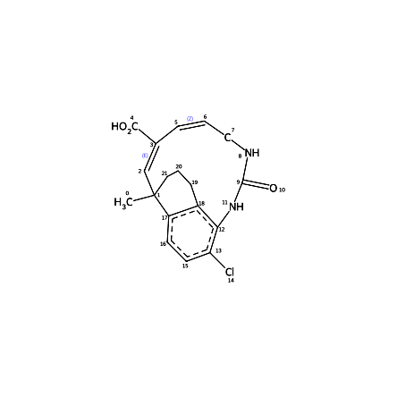 CC12/C=C(C(=O)O)\C=C/CNC(=O)Nc3c(Cl)ccc1c3CCC2